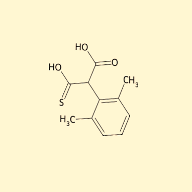 Cc1cccc(C)c1C(C(=O)O)C(O)=S